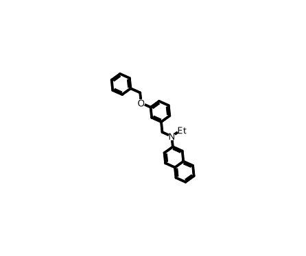 CCN(Cc1cccc(OCc2ccccc2)c1)c1ccc2ccccc2c1